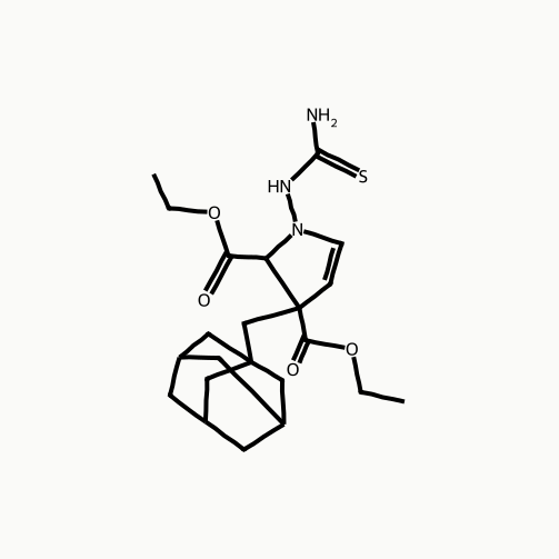 CCOC(=O)C1N(NC(N)=S)C=CC1(CC12CC3CC(CC(C3)C1)C2)C(=O)OCC